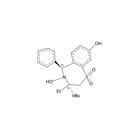 CCCC[C@@]1(CC)CS(=O)(=O)c2cc(O)ccc2[C@H](c2ccccc2)N1O